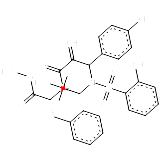 C=C(C(=O)N[C@H](Cc1ccccc1)C(=O)OC)C(c1ccc(Cl)cc1)N(CC(C)(C)C)S(=O)(=O)c1ccccc1C